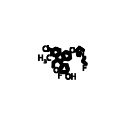 Cc1c(Cl)cccc1C1=C(c2ccc(O[C@H]3CCN(CCCF)C3)cc2)c2ccc(O)c(F)c2OCC1